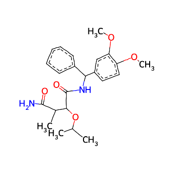 COc1ccc(C(NC(=O)C(OC(C)C)C(C)C(N)=O)c2ccccc2)cc1OC